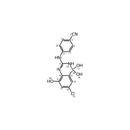 N#Cc1ccc(NC2=Nc3c(O)cc(Cl)cc3S(O)(O)N2)cc1